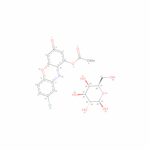 COC(=O)Oc1cc(=O)cc2oc3ccc(Cl)cc3nc1-2.OC[C@H]1O[C@@H](O)[C@H](O)[C@@H](O)[C@H]1O